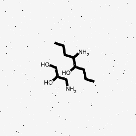 CCCC(N)C(O)CCC.NCC(O)CO